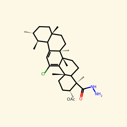 CC(=O)O[C@@H]1CC[C@]2(C)C3=C(Cl)C=C4C5[C@@H](C)[C@H](C)CC[C@]5(C)CC[C@@]4(C)[C@]3(C)CCC2[C@@]1(C)C(=O)NN